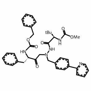 COC(=O)N[C@@H](C(=O)NN(CC(=O)[C@H](Cc1ccccc1)NC(=O)OCc1ccccc1)Cc1ccc(-c2ccccn2)cc1)C(C)(C)C